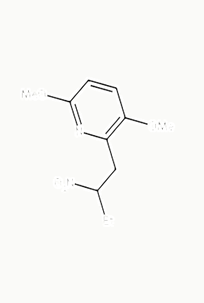 CCC(Cc1nc(OC)ccc1OC)[N+](=O)[O-]